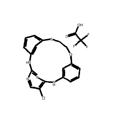 Clc1cnc2nc1Nc1cccc(c1)OCCSc1cccc(c1)N2.O=C(O)C(F)(F)F